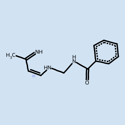 CC(=N)/C=C\NCNC(=O)c1ccccc1